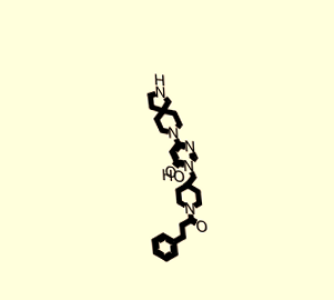 O=C(CCc1ccccc1)N1CCC(O)(Cn2cnc(N3CCC4(CCNC4)CC3)cc2=O)CC1